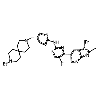 CCN1CCC2(CC1)CCN(Cc1ccc(Nc3ncc(F)c(-c4cnc5nc(C)n(C(C)C)c5c4)n3)nc1)CC2